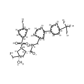 C[C@@]1(CF)C[C@@H](C(=O)NCc2cc(-c3ccc(C(F)(F)F)nc3)ncn2)N(S(=O)(=O)c2ccc(F)cc2)C1